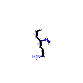 C=NC(/C=C\C)=C\C=C/N